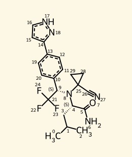 CC(C)C[C@@H](C(N)=O)N([C@@H](c1ccc(-c2cc[nH]n2)cc1)C(F)(F)F)C1(C#N)CC1